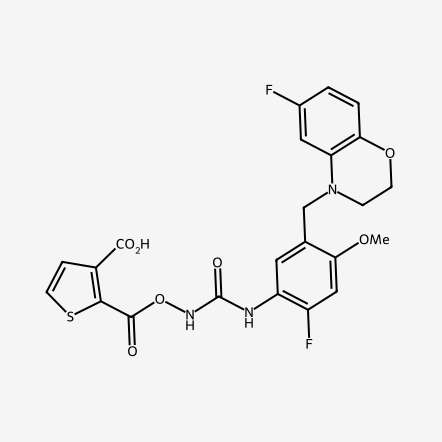 COc1cc(F)c(NC(=O)NOC(=O)c2sccc2C(=O)O)cc1CN1CCOc2ccc(F)cc21